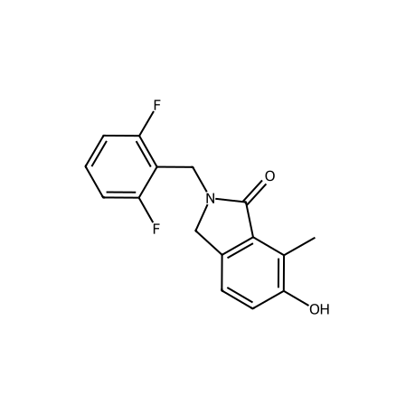 Cc1c(O)ccc2c1C(=O)N(Cc1c(F)cccc1F)C2